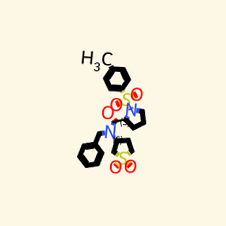 Cc1ccc(S(=O)(=O)N2CCC[C@H]2C(=O)N(Cc2ccccc2)[C@H]2CCS(=O)(=O)C2)cc1